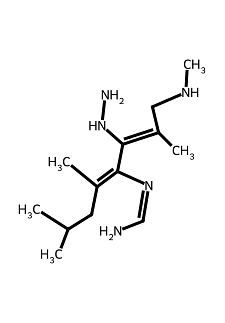 CNC/C(C)=C(NN)/C(/N=C\N)=C(\C)CC(C)C